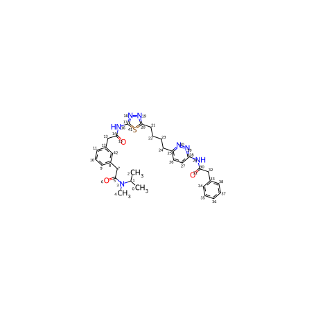 CC(C)N(C)C(=O)Cc1cccc(CC(=O)Nc2nnc(CCCCc3ccc(NC(=O)Cc4ccccc4)nn3)s2)c1